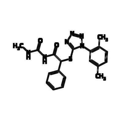 CNC(=O)NC(=O)C(Sc1nnnn1-c1cc(C)ccc1C)c1ccccc1